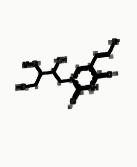 COC(CO)C(O)Cn1cc(/C=C/Br)c(=O)[nH]c1=O